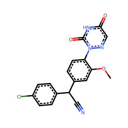 COc1cc(C(C#N)c2ccc(Cl)cc2)ccc1-n1ncc(=O)[nH]c1=O